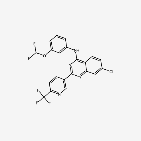 FC(F)Oc1cccc(Nc2nc(-c3ccc(C(F)(F)F)nc3)nc3cc(Cl)ccc23)c1